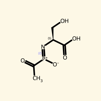 CC(=O)/[P+]([O-])=N/[C@@H](CO)C(=O)O